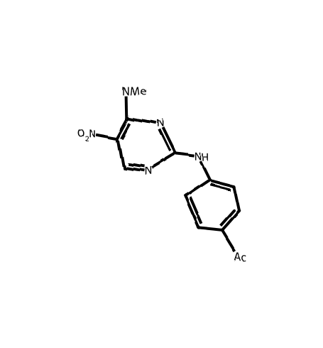 CNc1nc(Nc2ccc(C(C)=O)cc2)ncc1[N+](=O)[O-]